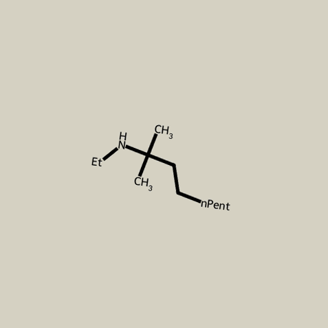 [CH2]CNC(C)(C)CCCCCCC